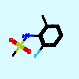 Cc1cccc(F)c1NS(C)(=O)=O